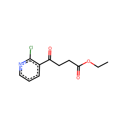 CCOC(=O)CCC(=O)c1cccnc1Cl